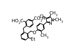 CCc1cccc(Cc2ccc(C(=O)O)cc2C(=O)O)c1COc1ccc(-c2nn(C)c(C)c2Cl)cc1C